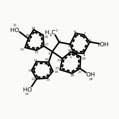 CC(c1ccc(O)cc1)C(c1ccc(O)cc1)(c1ccc(O)cc1)c1ccc(O)cc1